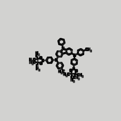 Cc1ccc(N(c2ccc(B3OC(C)(C)C(C)(C)O3)cc2)c2ccc3c(c2)c2cc(N(c4ccc(C)cc4)c4ccc(B5OC(C)(C)C(C)(C)O5)cc4)ccc2n3-c2ccccc2)cc1